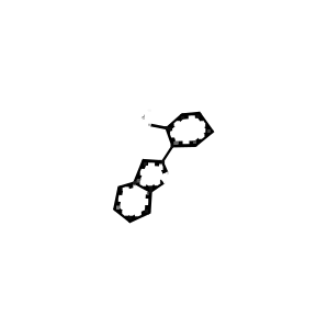 CCC(C)Oc1ccccc1-c1cc2ccccc2o1